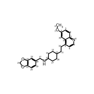 COc1ccc2nccc(CCC3CCC(NCc4ccc5c(c4)OCO5)CC3)c2c1